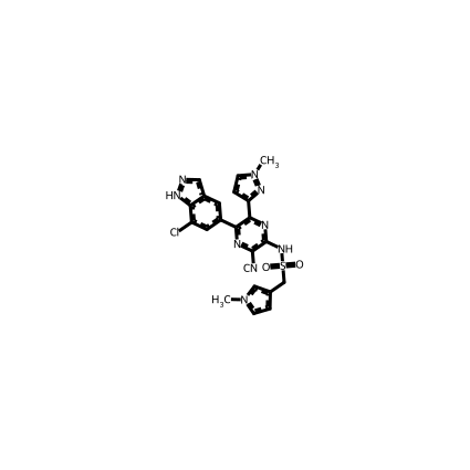 Cn1ccc(CS(=O)(=O)Nc2nc(-c3ccn(C)n3)c(-c3cc(Cl)c4[nH]ncc4c3)nc2C#N)c1